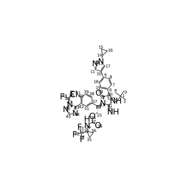 CC(C)(C)C[C@]1(c2ccc(-c3cnn(C4CC4)c3)cc2)NC(=N)N([C@H](COC(=O)NC2(C(F)(F)F)CC2)c2ccc(Cl)c(-c3ncnn3C(F)F)c2)C1=O